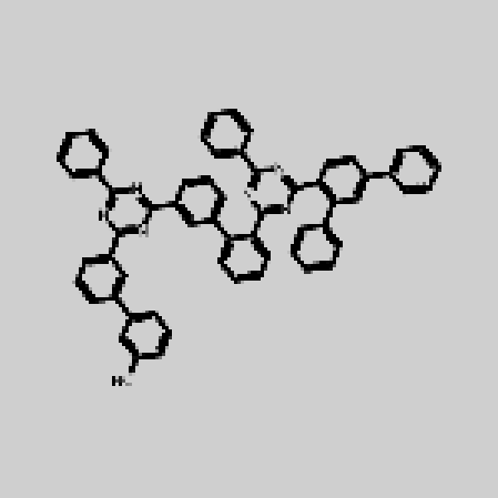 N#Cc1cccc(-c2cccc(-c3nc(-c4ccccc4)nc(-c4cccc(-c5ccccc5-c5nc(-c6ccccc6)nc(-c6ccc(-c7ccccc7)cc6-c6ccccc6)n5)c4)n3)c2)c1